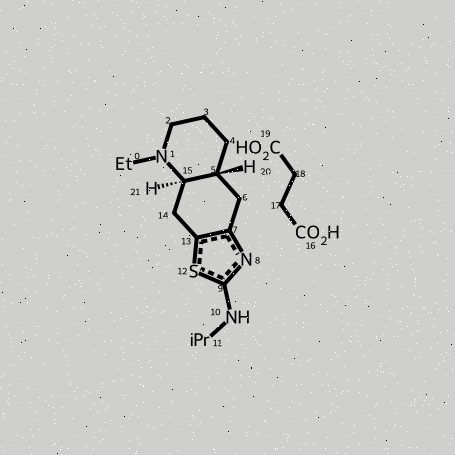 CCN1CCC[C@@H]2Cc3nc(NC(C)C)sc3C[C@H]21.O=C(O)CCC(=O)O